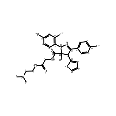 CN(C)CCNC(=O)CNC(=O)C1(C)C(c2cccs2)C(c2ccc(F)cc2)=NN1c1ccc(F)cc1F